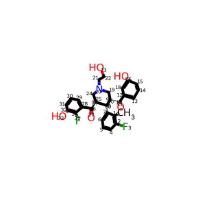 Cc1c(F)cccc1[C@H]1[C@@H](C(=O)c2cccc(O)c2)CN(CCO)C[C@@H]1C(=O)c1cccc(O)c1F